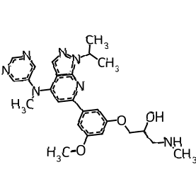 CNCC(O)COc1cc(OC)cc(-c2cc(N(C)c3cncnc3)c3cnn(C(C)C)c3n2)c1